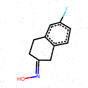 ON=C1CCc2cc(F)ccc2C1